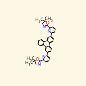 CC1(C)CN=C(c2cccc(-c3ccc4c5ccc(-c6cccc(C7=NCC(C)(C)O7)n6)cc5c5ccccc5c4c3)n2)O1